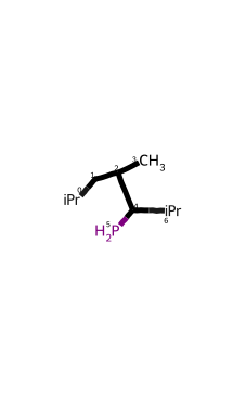 CC(C)CC(C)C(P)C(C)C